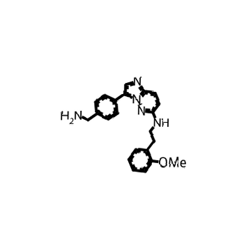 COc1ccccc1CCNc1ccc2ncc(-c3ccc(CN)cc3)n2n1